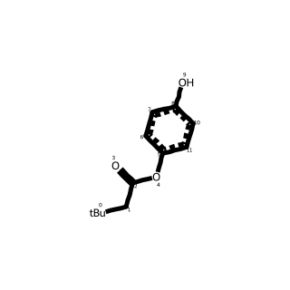 CC(C)(C)CC(=O)Oc1ccc(O)cc1